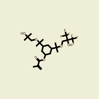 C=C(C)C(=O)OC1CC(C(C)(C)OCC(C)(C)O)CC(C(C)(C)OCC(O)(C(F)(F)F)C(F)(F)F)C1